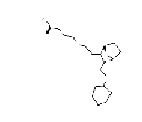 CN(O)C(=O)CCCOCCC1C2CCC(O2)C1CSC1CCCCC1